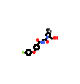 O=C(NCC(=O)N1C[C@@H](C(F)(F)F)C[C@H]1CO)c1ccc(Oc2ccc(F)cc2)cc1